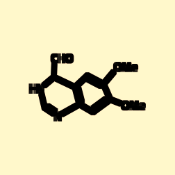 COc1cc2c(cc1OC)C(C=O)NC=N2